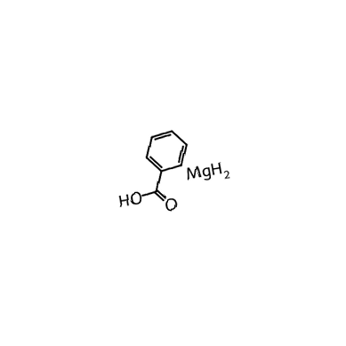 O=C(O)c1ccccc1.[MgH2]